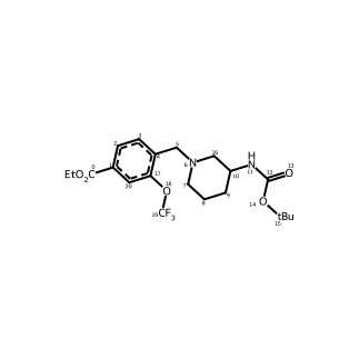 CCOC(=O)c1ccc(CN2CCCC(NC(=O)OC(C)(C)C)C2)c(OC(F)(F)F)c1